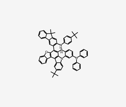 CC(C)(C)c1ccc(Nc2cc3c(cc2-c2c4c5c(c6cc(C(C)(C)C)ccc6n5-c5cc(N(c6ccccc6)c6ccccc6)ccc5B4)c4c2oc2ccccc24)-c2ccccc2C3(C)C)cc1